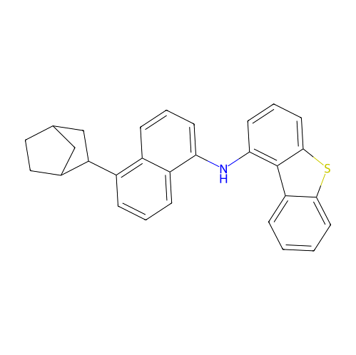 c1ccc2c(c1)sc1cccc(Nc3cccc4c(C5CC6CCC5C6)cccc34)c12